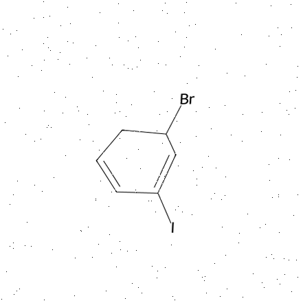 BrC1C=C(I)C=CC1